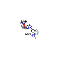 COc1cc(-c2cnc3cc(OC4C[C@H]5CC[C@@H](C4)N5C(=O)OC(C)(C)C)ccn23)cc(OC(F)F)c1C(=O)NC1CC1